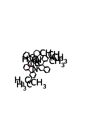 CC(C)(C)c1ccc(N2c3cc4ccccc4c4c3B(c3c2ccc2c3oc3ccccc32)N2c3c-4cc(C(C)(C)C)cc3C3(C)CCCCC23C)c(-c2ccccc2)c1